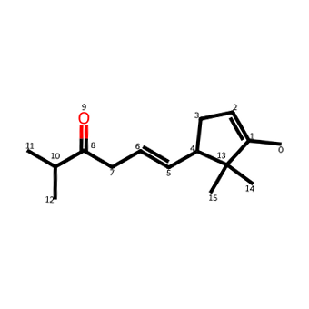 CC1=CCC(C=CCC(=O)C(C)C)C1(C)C